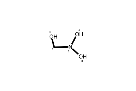 OCN(O)O